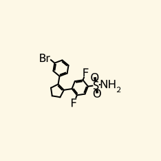 NS(=O)(=O)c1cc(F)c(C2=C(c3cccc(Br)c3)CCC2)cc1F